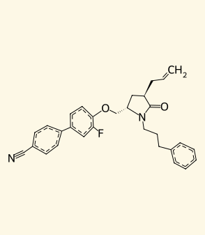 C=CC[C@@H]1C[C@@H](COc2ccc(-c3ccc(C#N)cc3)cc2F)N(CCCc2ccccc2)C1=O